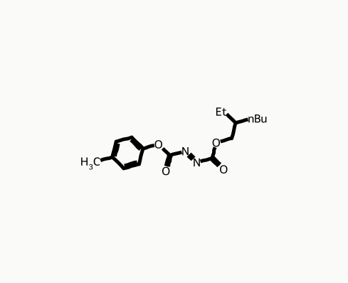 CCCCC(CC)COC(=O)N=NC(=O)Oc1ccc(C)cc1